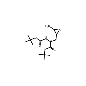 CC(C)(C)OC(=O)N[C@@H](CC1SC1N)C(=O)OC(C)(C)C